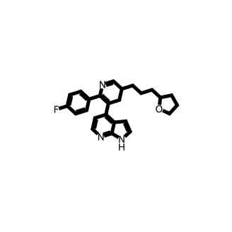 Fc1ccc(C2=C(c3ccnc4[nH]ccc34)CC(CCCC3CCCO3)C=N2)cc1